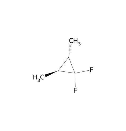 C[C@H]1[C@H](C)C1(F)F